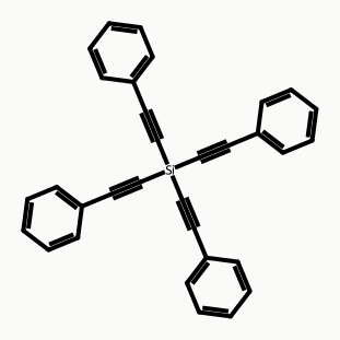 C(#C[Si](C#Cc1ccccc1)(C#Cc1ccccc1)C#Cc1ccccc1)c1ccccc1